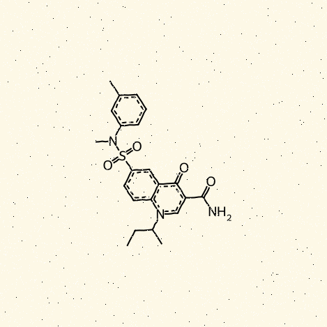 CCC(C)n1cc(C(N)=O)c(=O)c2cc(S(=O)(=O)N(C)c3cccc(C)c3)ccc21